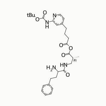 C[C@H](CNC(=O)C(N)CCc1ccccc1)C(=O)OC(=O)CCCc1ccnc(NC(=O)OC(C)(C)C)c1